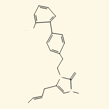 CC=CCc1cn(C(C)(C)C)c(=O)n1CCc1ccc(-c2ccccc2C(=O)O)cc1